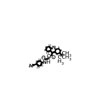 CC(C)(C)C1CCc2nc3ccccc3c(C(=O)OCC(=O)Nc3ccc(C#N)cc3)c2C1